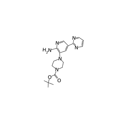 CC(C)(C)OC(=O)N1CCN(c2cc(-c3ncccn3)cnc2N)CC1